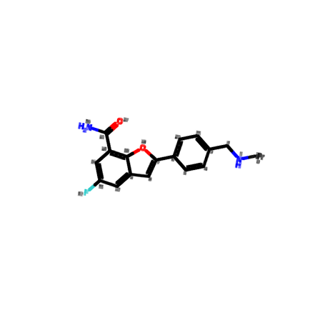 CC(C)NCc1ccc(-c2cc3cc(F)cc(C(N)=O)c3o2)cc1